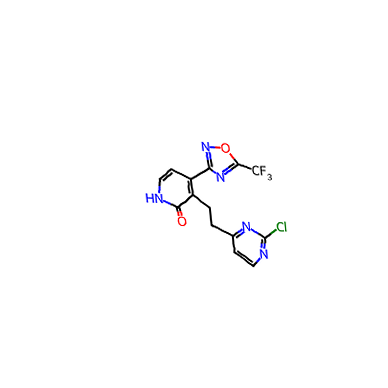 O=c1[nH]ccc(-c2noc(C(F)(F)F)n2)c1CCc1ccnc(Cl)n1